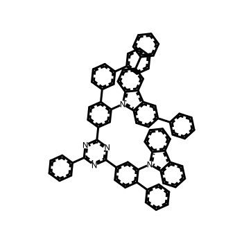 c1ccc(-c2cccc(-c3ccc(-c4nc(-c5ccccc5)nc(-c5ccc(-c6ccccc6)c(-n6c7ccccc7c7ccccc76)c5)n4)cc3-n3c4ccc(-c5ccccc5)cc4c4cc(-c5ccccc5)ccc43)c2)cc1